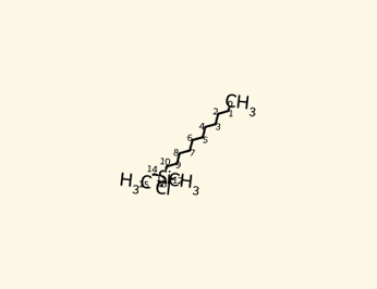 CCCCCCCCCCC[Si](C)(Cl)CC